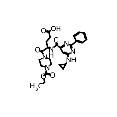 CCOC(=O)N1CCN(C(=O)C(CCC(=O)O)NC(=O)c2cc(NC3CC3)nc(-c3ccccc3)n2)CC1